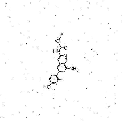 Cc1nc(O)ccc1-c1cc(N)c2cnc(NC(=O)C3CC3F)cc2c1